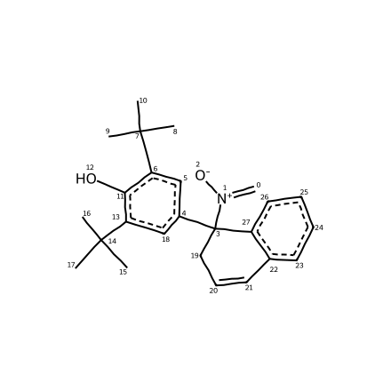 C=[N+]([O-])C1(c2cc(C(C)(C)C)c(O)c(C(C)(C)C)c2)CC=Cc2ccccc21